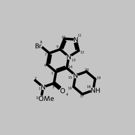 CON(C)C(=O)c1cc(Br)c2cncn2c1N1CCNCC1